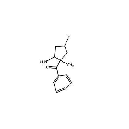 CC1(C(=O)c2ccccc2)CC(F)CC1N